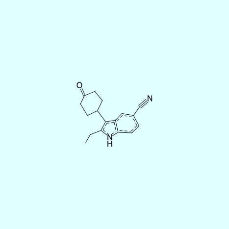 CCc1[nH]c2ccc(C#N)cc2c1C1CCC(=O)CC1